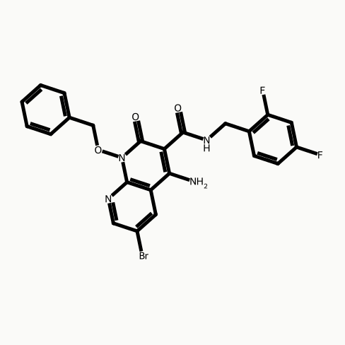 Nc1c(C(=O)NCc2ccc(F)cc2F)c(=O)n(OCc2ccccc2)c2ncc(Br)cc12